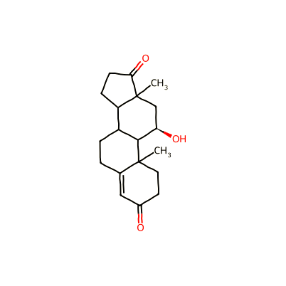 CC12C[C@@H](O)C3C(CCC4=CC(=O)CCC43C)C1CCC2=O